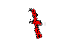 CC(=O)c1ccc2c3ccc4c5c(ccc(c6ccc(C(C)=O)c1c26)c53)C(=O)N(CCc1ccc(Oc2cc(C(C)=O)c3c(C(C)=O)ccc5c6c(Oc7ccc(CCN8C(=O)c9ccc%10c%11ccc(C(=O)Oc%12ccccc%12)c%12c(C(=O)Oc%13ccccc%13)ccc(c%13ccc(c9c%10%13)C8=O)c%12%11)cc7)cc7c8c(ccc(c2c35)c86)C(=O)N(CCO)C7=O)cc1)C4=O